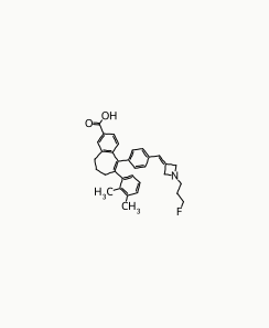 Cc1cccc(C2=C(c3ccc(C=C4CN(CCCF)C4)cc3)c3ccc(C(=O)O)cc3CCC2)c1C